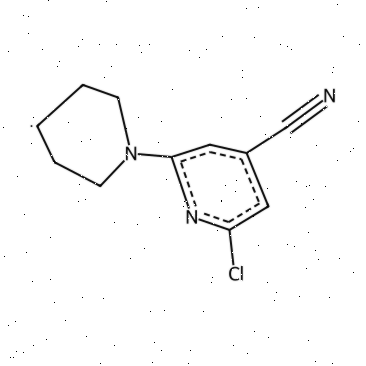 N#Cc1cc(Cl)nc(N2CC[CH]CC2)c1